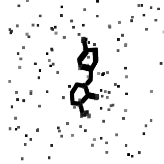 CN1CCCN(Cc2ccc(Br)cn2)C1=O